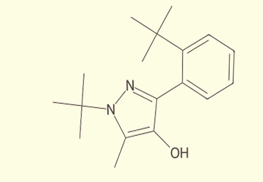 Cc1c(O)c(-c2ccccc2C(C)(C)C)nn1C(C)(C)C